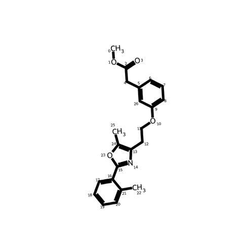 COC(=O)Cc1cccc(OCCc2nc(-c3ccccc3C)oc2C)c1